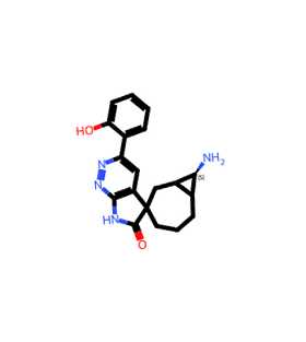 N[C@H]1C2CCCC3(CC21)C(=O)Nc1nnc(-c2ccccc2O)cc13